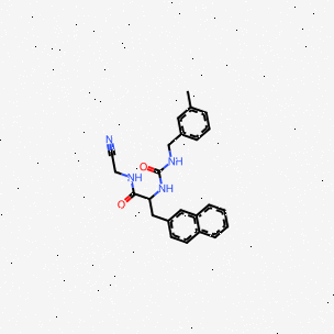 Cc1cccc(CNC(=O)NC(Cc2ccc3ccccc3c2)C(=O)NCC#N)c1